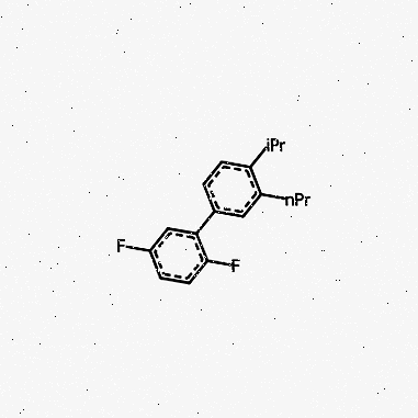 CCCc1cc(-c2cc(F)ccc2F)ccc1C(C)C